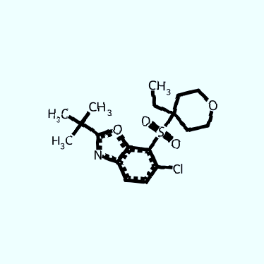 CCC1(S(=O)(=O)c2c(Cl)ccc3nc(C(C)(C)C)oc23)CCOCC1